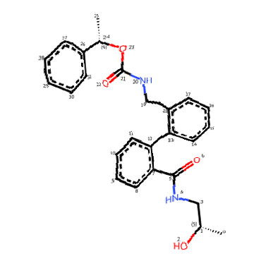 C[C@H](O)CNC(=O)c1ccccc1-c1ccccc1CNC(=O)O[C@@H](C)c1ccccc1